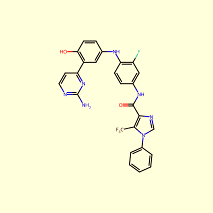 Nc1nccc(-c2cc(Nc3ccc(NC(=O)c4ncn(-c5ccccc5)c4C(F)(F)F)cc3F)ccc2O)n1